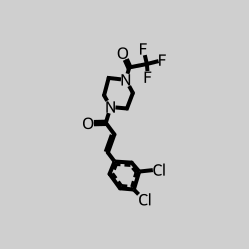 O=C(C=Cc1ccc(Cl)c(Cl)c1)N1CCN(C(=O)C(F)(F)F)CC1